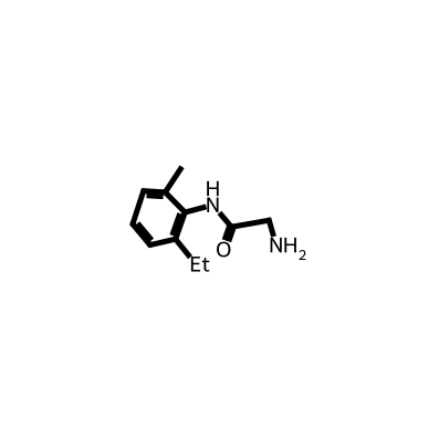 CCc1cccc(C)c1NC(=O)CN